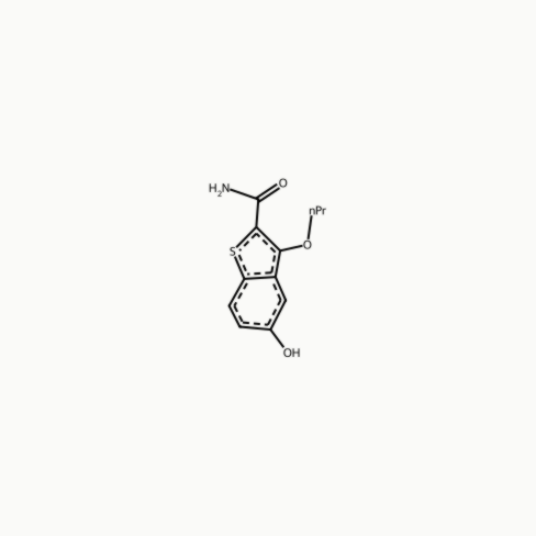 CCCOc1c(C(N)=O)sc2ccc(O)cc12